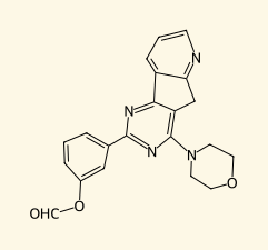 O=COc1cccc(-c2nc3c(c(N4CCOCC4)n2)Cc2ncccc2-3)c1